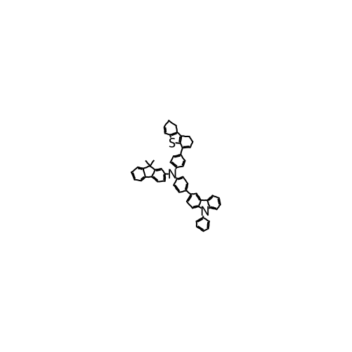 CC1(C)c2ccccc2-c2ccc(N(c3ccc(C4=CCCc5c4sc4c5CCC=C4)cc3)c3ccc(-c4ccc5c(c4)c4ccccc4n5-c4ccccc4)cc3)cc21